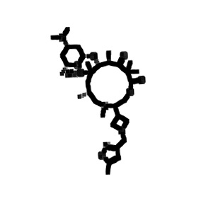 CO[C@]1(C)C[C@@H](C)CN(C)C(C2CN(Cc3cc(C)on3)C2)COC(=O)C(C)(C)C(=O)[C@H](C)[C@H]1O[C@H]1C[C@@H](N(C)C)C[C@@H](C)O1